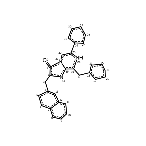 O=c1c(Cc2ccc3ccccc3c2)nc2c(Cc3ccccc3)[nH]c(-c3ccccc3)cn1-2